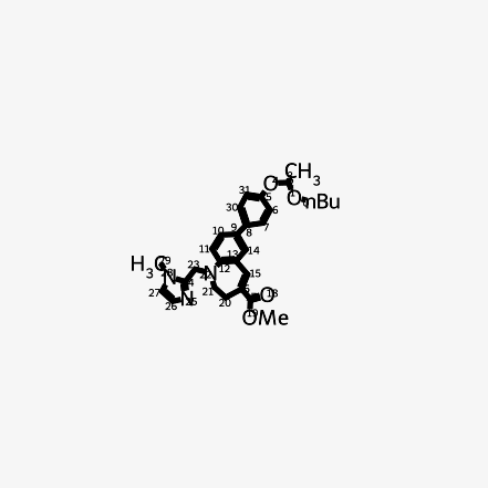 CCCCOC(C)Oc1ccc(-c2ccc3c(c2)C=C(C(=O)OC)CCN3Cc2nccn2C)cc1